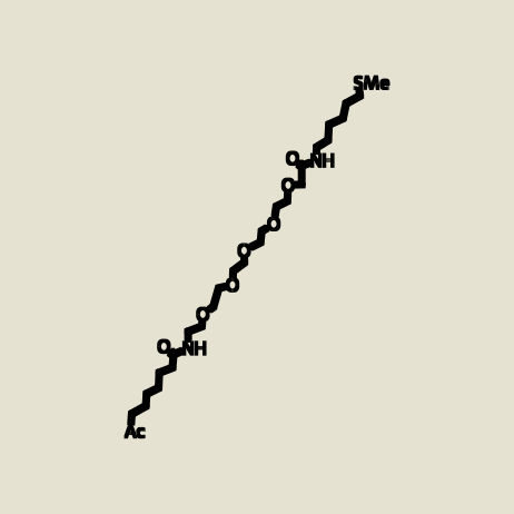 CSCCCCCCNC(=O)COCCOCCOCCOCCOCCNC(=O)CCCCCCC(C)=O